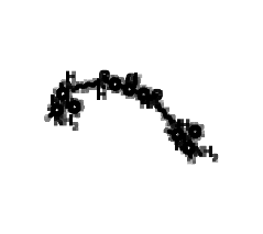 Cc1cc2nc3cc(C)c(NCCCCCCNC(=O)c4ccc(-c5ccc(-c6ccc(C(=O)NCCCCCCNc7cc8c(cc7C)nc7cc(C)c(N)cc7[n+]8-c7ccccc7)cc6)cc5)cc4)cc3[n+](-c3ccccc3)c2cc1N.[Cl-].[Cl-]